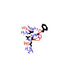 CC(C)C[C@H](NC(=O)OCc1ccccc1)C(=O)NCC(O)CN.NCC(O)CN